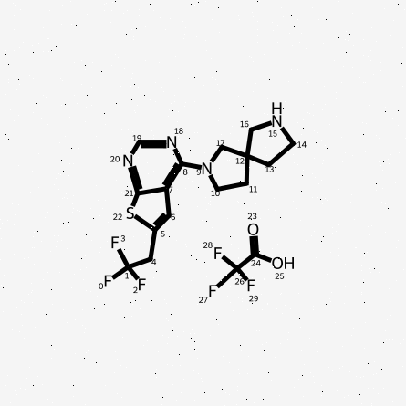 FC(F)(F)Cc1cc2c(N3CCC4(CCNC4)C3)ncnc2s1.O=C(O)C(F)(F)F